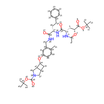 CC(=O)N[C@@H](CCC(=O)OC(C)(C)C)C(=O)N[C@@H](CCc1ccccc1)C(=O)NCc1cc(OC2CC3CN(C(=O)OC(C)(C)C)CC32)ccc1C